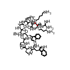 CC[C@H](C)[C@H](NC(=O)[C@H](Cc1c[nH]c2ccccc12)NC(=O)[C@H](CC(C)C)NC(=O)[C@H](CC(C)C)NC(=O)[C@@H](N)Cc1c[nH]c2ccccc12)C(=O)N[C@@H](C)C(=O)N[C@@H](CC(C)C)C(=O)N[C@@H](CCCNC(=N)N)C(=O)N[C@@H](CCCCN)C(=O)N[C@@H](CCCCN)C(=O)O